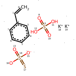 C=Cc1ccccc1.O=S(=O)(O)O.O=S([O-])([O-])=S.[K+].[K+]